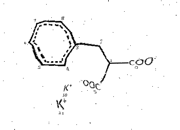 O=C([O-])C(Cc1ccccc1)C(=O)[O-].[K+].[K+]